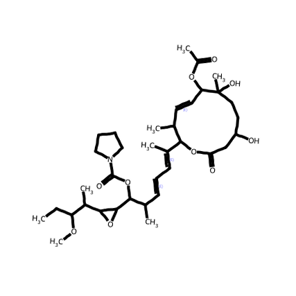 CCC(OC)C(C)C1OC1C(OC(=O)N1CCCC1)C(C)/C=C/C=C(\C)C1OC(=O)CC(O)CCC(C)(O)C(OC(C)=O)/C=C/C1C